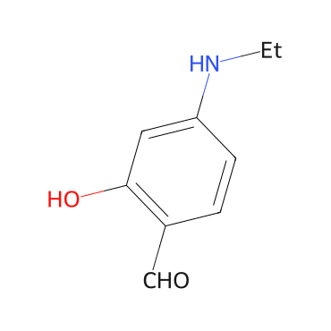 CCNc1ccc(C=O)c(O)c1